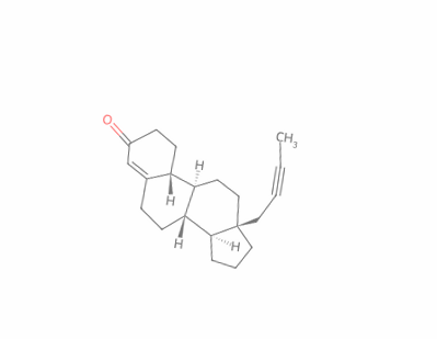 CC#CC[C@@]12CCC[C@H]1[C@@H]1CCC3=CC(=O)CC[C@@H]3[C@H]1CC2